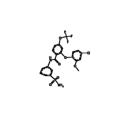 COc1cc(Cl)ccc1Oc1cc(OC(F)(F)F)ccc1C(=O)Nc1cccc(S(N)(=O)=O)c1